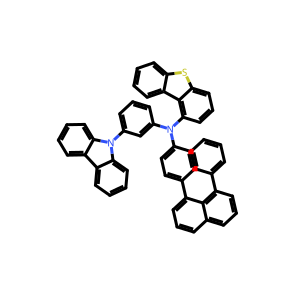 c1ccc(-c2cccc3cccc(-c4ccc(N(c5cccc(-n6c7ccccc7c7ccccc76)c5)c5cccc6sc7ccccc7c56)cc4)c23)cc1